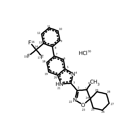 CC1C(c2nc3cc(-c4ccccc4C(F)(F)F)ccc3[nH]2)=NOC12CCCCC2.Cl